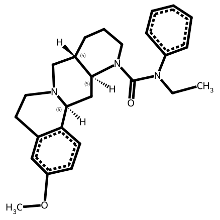 CCN(C(=O)N1CCC[C@H]2CN3CCc4cc(OC)ccc4[C@@H]3C[C@@H]21)c1ccccc1